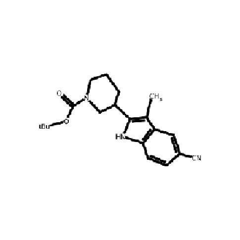 Cc1c(C2CCCN(C(=O)OC(C)(C)C)C2)[nH]c2ccc(C#N)cc12